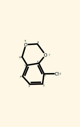 Clc1c[c]cc2c1OCOC2